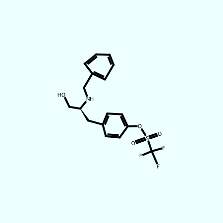 O=S(=O)(Oc1ccc(C[C@@H](CO)NCc2ccccc2)cc1)C(F)(F)F